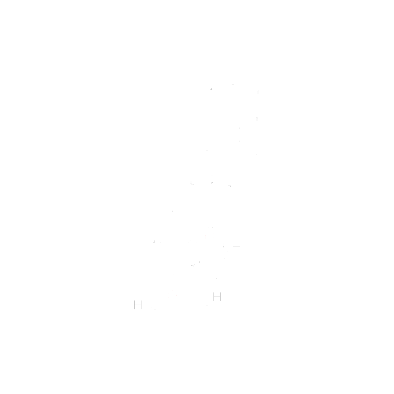 COc1c[c]c(CCCc2cccc(-c3ccccc3)c2)c(OC)c1OC